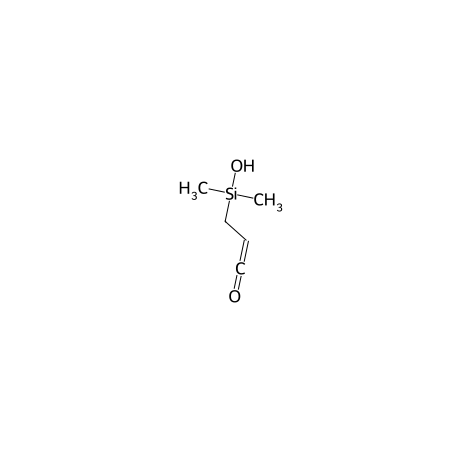 C[Si](C)(O)CC=C=O